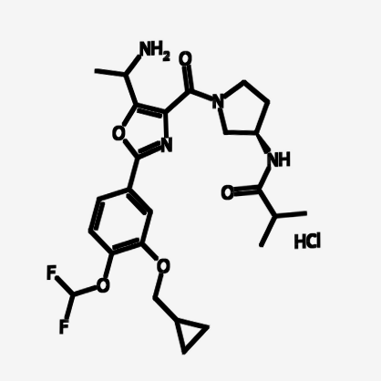 CC(C)C(=O)N[C@@H]1CCN(C(=O)c2nc(-c3ccc(OC(F)F)c(OCC4CC4)c3)oc2C(C)N)C1.Cl